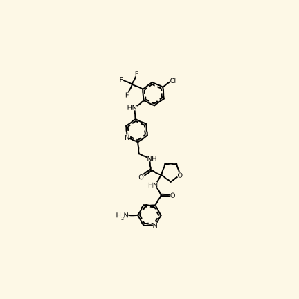 Nc1cncc(C(=O)NC2(C(=O)NCc3ccc(Nc4ccc(Cl)cc4C(F)(F)F)cn3)CCOC2)c1